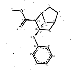 COC(=O)[C@H]1C2CCC(C[C@H]1Sc1ccccc1)N2C